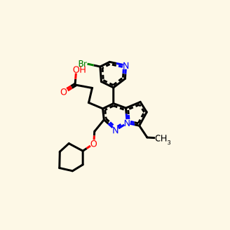 CCc1ccc2c(-c3cncc(Br)c3)c(CCC(=O)O)c(COC3CCCCC3)nn12